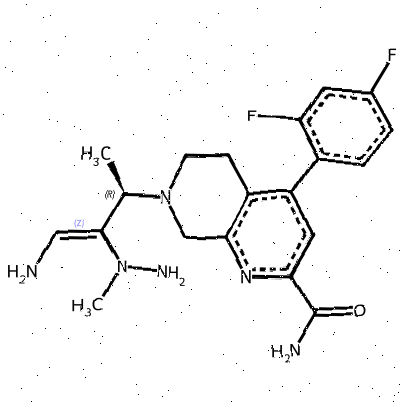 C[C@H](/C(=C/N)N(C)N)N1CCc2c(-c3ccc(F)cc3F)cc(C(N)=O)nc2C1